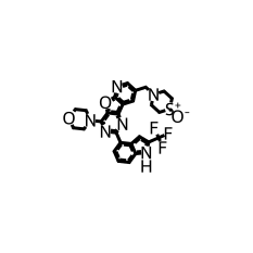 [O-][S+]1CCN(Cc2cnc3oc4c(N5CCOCC5)nc(-c5cccc6[nH]c(C(F)(F)F)cc56)nc4c3c2)CC1